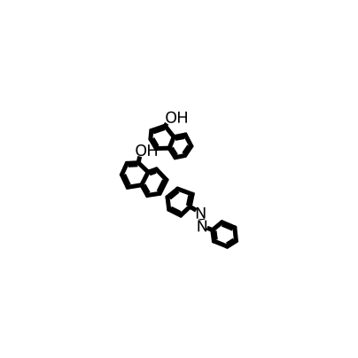 Oc1cccc2ccccc12.Oc1cccc2ccccc12.c1ccc(N=Nc2ccccc2)cc1